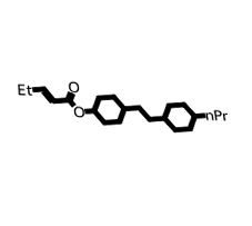 CCC=CC(=O)OC1CCC(CCC2CCC(CCC)CC2)CC1